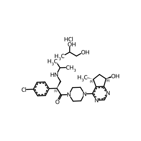 CC(C)NC[C@@H](C(=O)N1CCN(c2ncnc3c2[C@H](C)C[C@H]3O)CC1)c1ccc(Cl)cc1.CC(O)CO.Cl